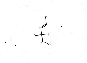 [CH2]CCCC(C)(C)C=CC